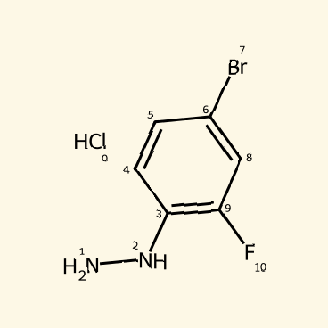 Cl.NNc1ccc(Br)cc1F